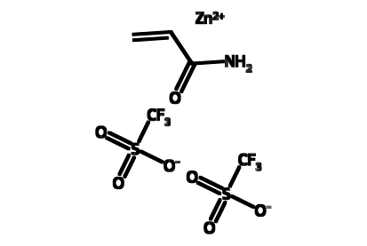 C=CC(N)=O.O=S(=O)([O-])C(F)(F)F.O=S(=O)([O-])C(F)(F)F.[Zn+2]